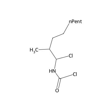 CCCCCCCC(C)C(Cl)NC(=O)Cl